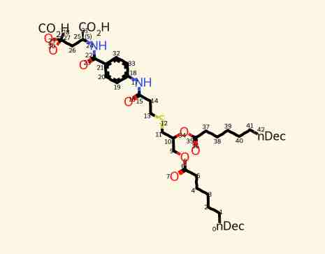 CCCCCCCCCCCCCCCC(=O)OCC(CSCCC(=O)Nc1ccc(C(=O)N[C@@H](CC2(C(=O)O)OO2)C(=O)O)cc1)OC(=O)CCCCCCCCCCCCCCC